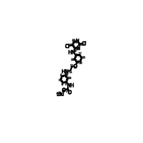 CC(C)(C)OC(=O)Nc1cccc(NCCOc2cccc(Nc3nc(Cl)ncc3Cl)c2)c1